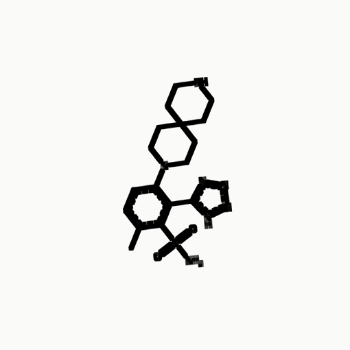 Cc1ccc(N2CCC3(CCNCC3)CC2)c(-c2nnn[nH]2)c1S(N)(=O)=O